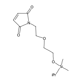 CC(C)[Si](C)(C)OCCOCCN1C(=O)C=CC1=O